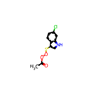 CC(=O)OOSc1c[nH]c2cc(Cl)ccc12